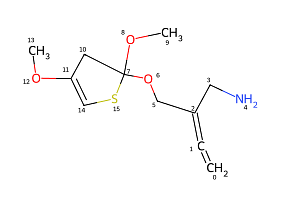 C=C=C(CN)COC1(OC)CC(OC)=CS1